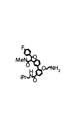 CNC(=O)C1c2cc(-c3cc(C(=O)NCC(C)C)ccc3OCCN)ccc2OC1c1ccc(F)cc1